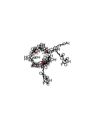 CN[C@H](CSCC1O[C@H]2O[C@@H]3C(CO)O[C@H](O[C@@H]4C(CO)O[C@@H](O[C@@H]5C(CO)O[C@H](O[C@@H]6C(CSC[C@@H](CC(=O)COCCOCC(C)=O)C(=O)NCCCCCC(=O)OCn7cc(F)c(=O)[nH]c7=O)O[C@H](O[C@@H]7C(CO)O[C@@H](O[C@@H]8C(CO)O[C@@H](O[C@H]1[C@H](O)C2O)C(O)[C@H]8O)C(O)[C@H]7O)C(O)[C@H]6O)C(O)[C@H]5O)C(O)[C@H]4O)C(O)[C@H]3O)C(=O)NCCCCCC(=O)OCn1cc(F)c(=O)[nH]c1=O